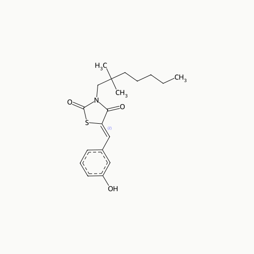 CCCCCC(C)(C)CN1C(=O)S/C(=C\c2cccc(O)c2)C1=O